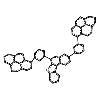 c1cc(-c2ccc3c(c2)cc(-c2cccc(-c4ccc5ccc6cccc7ccc4c5c67)c2)c2oc4ccccc4c23)cc(-c2ccc3ccc4cccc5ccc2c3c45)c1